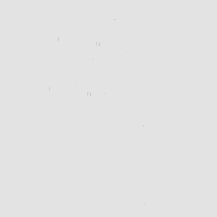 O=C(O)CN(c1ccccc1)c1cc(C(=O)O)nc(-c2ccc(Oc3ccc(F)cc3)cc2)c1